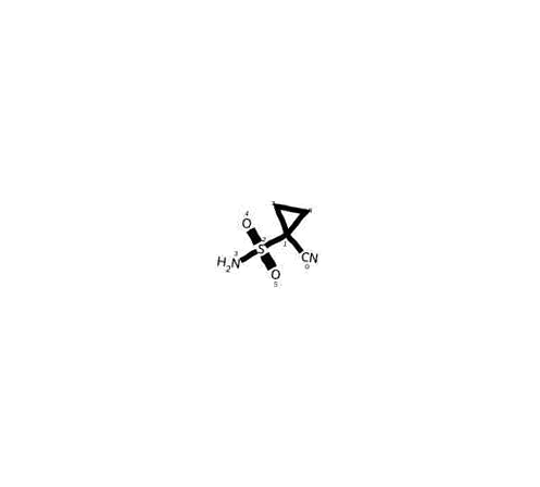 N#CC1(S(N)(=O)=O)CC1